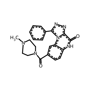 CN1CCN(C(=O)c2ccc3[nH]c(=O)c4nnc(-c5ccccc5)n4c3c2)CC1